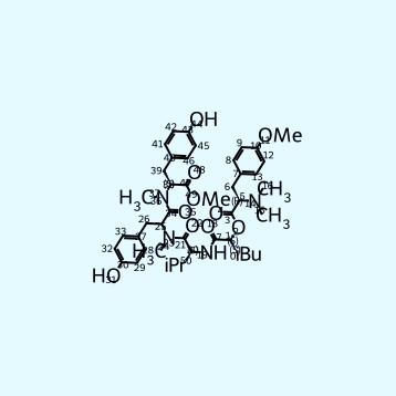 CC[C@H](C)[C@H](OC(=O)[C@@H](Cc1ccc(OC)cc1)N(C)C)C(=O)N[C@H](C(=O)N(C)C(Cc1ccc(O)cc1)C(=O)N(C)[C@@H](Cc1ccc(O)cc1)C(=O)OC)C(C)C